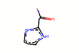 O=C(I)c1ncc[nH]1